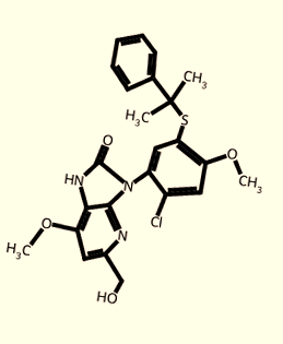 COc1cc(Cl)c(-n2c(=O)[nH]c3c(OC)cc(CO)nc32)cc1SC(C)(C)c1ccccc1